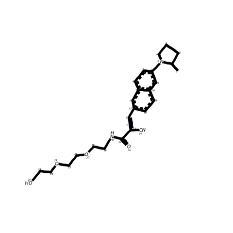 CC1CCCN1c1ccc2cc(/C=C(\C#N)C(=O)NCCOCCOCCO)ccc2c1